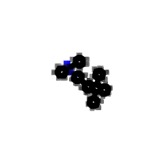 c1ccc(-c2c3ccccc3c(-c3ccccc3)c3cc(-c4ccc(-n5c(-c6ccccc6)nc6ccccc65)cc4)ccc23)cc1